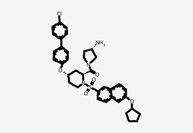 N[C@H]1CCN(C(=O)[C@@H]2C[C@@H](Oc3ccc(-c4ccc(Cl)cc4)cc3)CCN2S(=O)(=O)c2ccc3cc(OC4CCCC4)ccc3c2)C1